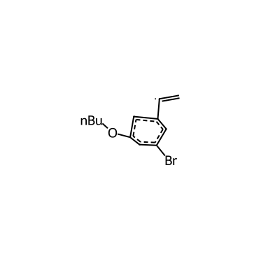 C=[C]c1cc(Br)cc(OCCCC)c1